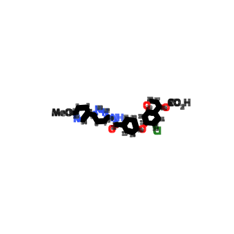 COc1ccc(-c2ccc(NC(=O)c3ccc(Oc4cc5c(cc4Cl)C(OC(=O)O)CCO5)cc3)nn2)cn1